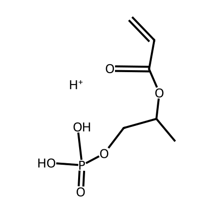 C=CC(=O)OC(C)COP(=O)(O)O.[H+]